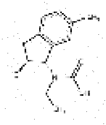 CCN(C(=O)O)[C@H]1c2cc(C)ccc2C[C@@H]1C